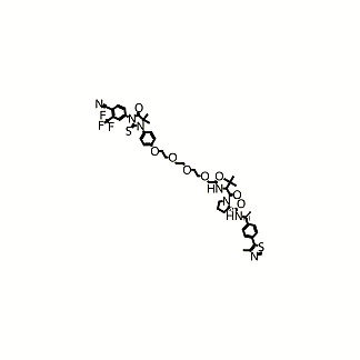 Cc1ncsc1-c1ccc([C@H](C)NC(=O)[C@@H]2CCCN2C(=O)C(NC(=O)COCCOCCOCCOc2ccc(N3C(=S)N(c4ccc(C#N)c(C(F)(F)F)c4)C(=O)C3(C)C)cc2)C(C)(C)C)cc1